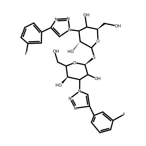 OCC1O[C@@H](SC2O[C@H](CO)C(O)C(n3cc(-c4cccc(F)c4)nn3)[C@H]2O)C(O)C(n2cc(-c3cccc(F)c3)nn2)[C@H]1O